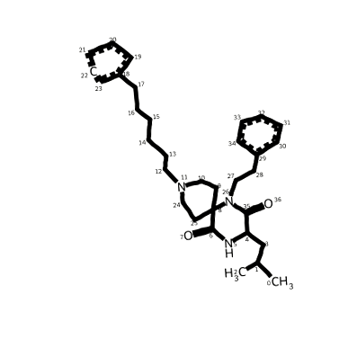 CC(C)CC1NC(=O)C2(CCN(CCCCCCc3ccccc3)CC2)N(CCc2ccccc2)C1=O